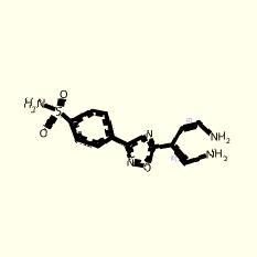 N/C=C\C(=C/N)c1nc(-c2ccc(S(N)(=O)=O)cc2)no1